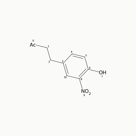 CC(=O)CCc1ccc(O)c([N+](=O)[O-])c1